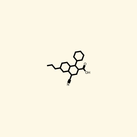 CCCC1CCC2C(C1)C(C#N)CC(C(=O)O)C2C1CCCCC1